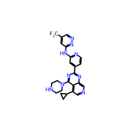 FC(F)(F)c1cnnc(Nc2cc(-c3nc(N4CCNCC4)c4c(C5CC5)cncc4n3)ccn2)c1